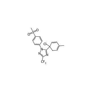 CC1=CCC(Cl)(c2nc(C(F)(F)F)nn2-c2ccc(S(C)(=O)=O)cc2)C=C1